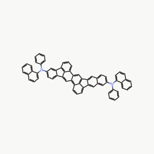 c1ccc(N(c2ccc3cc4c(cc3c2)c2cccc3c5cc6c7ccc(N(c8ccccc8)c8cccc9ccccc89)cc7c7cccc(c5cc4c23)c76)c2cccc3ccccc23)cc1